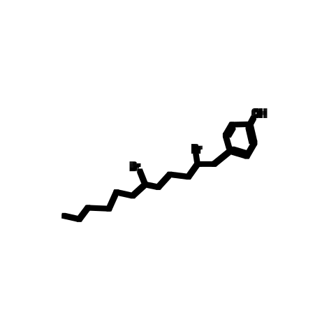 CCCCCCC(Br)CCCC(Br)Cc1ccc(O)cc1